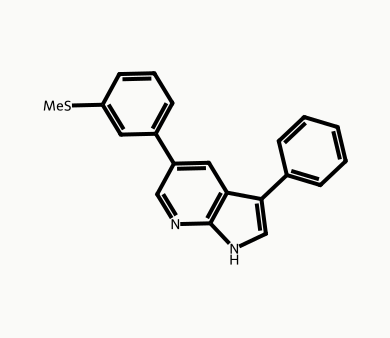 CSc1cccc(-c2cnc3[nH]cc(-c4ccccc4)c3c2)c1